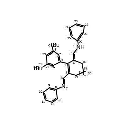 CC(C)(C)c1cc(C2=C(C=Nc3ccccc3)CCC/C2=C\Nc2ccccc2)cc(C(C)(C)C)c1.Cl